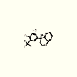 Cl.NC1(c2ccc(F)c(C(F)(F)F)c2)CCOc2cccnc21